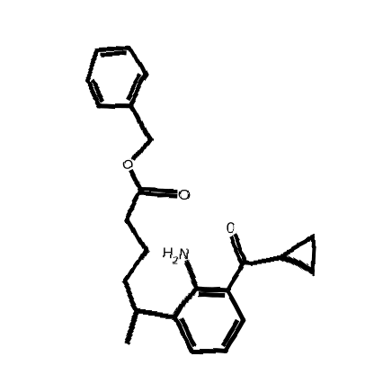 CC(CCCC(=O)OCc1ccccc1)c1cccc(C(=O)C2CC2)c1N